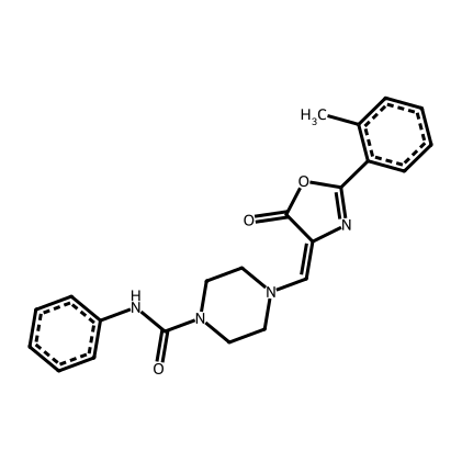 Cc1ccccc1C1=NC(=CN2CCN(C(=O)Nc3ccccc3)CC2)C(=O)O1